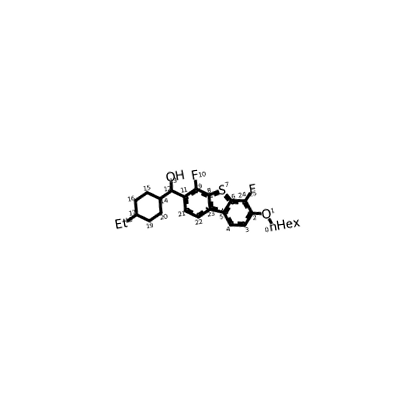 CCCCCCOc1ccc2c(sc3c(F)c(C(O)C4CCC(CC)CC4)ccc32)c1F